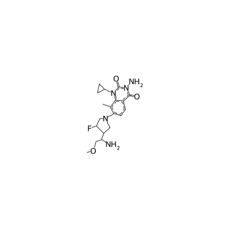 COCC(N)C1CN(c2ccc3c(=O)n(N)c(=O)n(C4CC4)c3c2C)CC1F